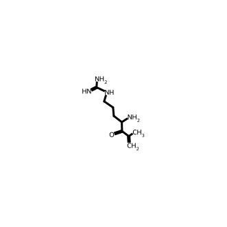 C=C(C)C(=O)C(N)CCCNC(=N)N